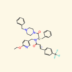 CCOc1ccc(CN(C(=O)/C=C/c2ccc(C(F)(F)F)cc2)[C@@H](Cc2ccccc2)C(=O)N2CCN(Cc3ccccc3)CC2)cn1